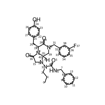 CCCN(C(=O)NCc1ccccc1)N1CC(=O)N2[C@@H](Cc3ccc(O)cc3)C(=O)N(Cc3cccc(F)c3)C[C@@H]21